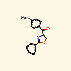 COc1ccc(C(=O)C2COC(c3ccccc3)=N2)cc1